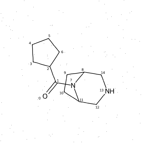 O=C(C1CCCC1)N1C2CCC1CNC2